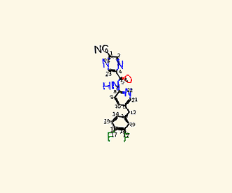 N#Cc1cnc(C(=O)Nc2ccc(Cc3ccc(F)c(F)c3)cn2)cn1